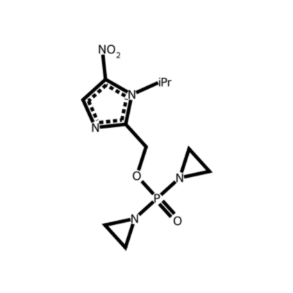 CC(C)n1c([N+](=O)[O-])cnc1COP(=O)(N1CC1)N1CC1